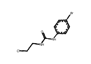 O=C(NCCCl)Nc1ccc(Br)cc1